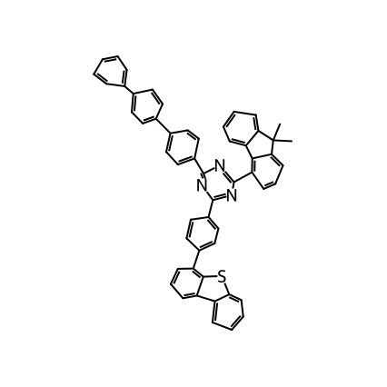 CC1(C)c2ccccc2-c2c(-c3nc(-c4ccc(-c5ccc(-c6ccccc6)cc5)cc4)nc(-c4ccc(-c5cccc6c5sc5ccccc56)cc4)n3)cccc21